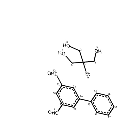 CCC(CO)(CO)CO.O=Cc1cc(C=O)cc(-c2ccccc2)c1